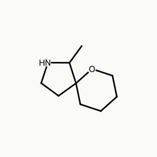 CC1NCCC12CCCCO2